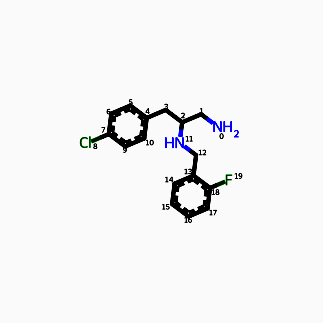 NCC(Cc1ccc(Cl)cc1)NCc1ccccc1F